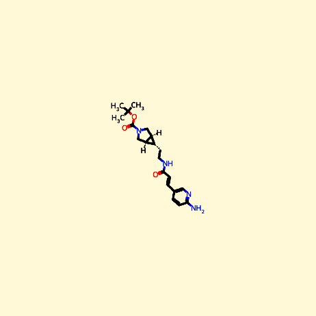 CC(C)(C)OC(=O)N1C[C@@H]2[C@@H](CCNC(=O)/C=C/c3ccc(N)nc3)[C@@H]2C1